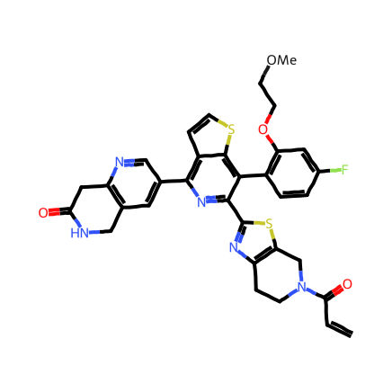 C=CC(=O)N1CCc2nc(-c3nc(-c4cnc5c(c4)CNC(=O)C5)c4ccsc4c3-c3ccc(F)cc3OCCOC)sc2C1